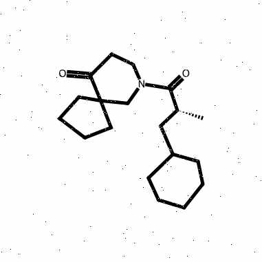 C[C@H](CC1CCCCC1)C(=O)N1CCC(=O)C2(CCCC2)C1